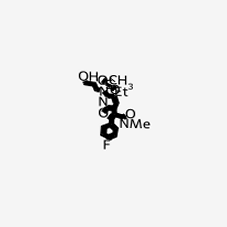 CCc1cc2c(C(=O)NC)c(-c3ccc(F)cc3)oc2nc1N(CCCO)S(C)(=O)=O